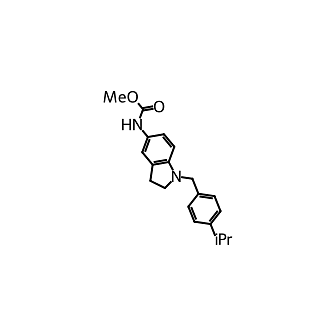 COC(=O)Nc1ccc2c(c1)CCN2Cc1ccc(C(C)C)cc1